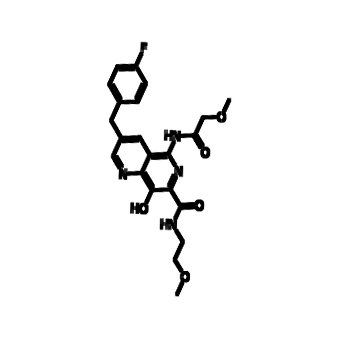 COCCNC(=O)c1nc(NC(=O)COC)c2cc(Cc3ccc(F)cc3)cnc2c1O